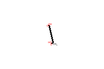 CC(CCCCCCCCCCCCCCCC(=O)O)C(=O)O